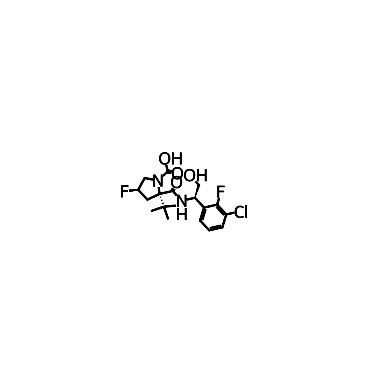 CC(C)(C)[C@]1(C(=O)N[C@@H](CO)c2cccc(Cl)c2F)C[C@@H](F)CN1C(=O)O